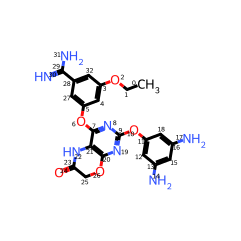 CCOc1cc(Oc2nc(Oc3cc(N)cc(N)c3)nc3c2NC(=O)CO3)cc(C(=N)N)c1